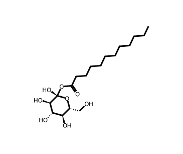 CCCCCCCCCCCC(=O)O[C@]1(O)O[C@H](CO)[C@@H](O)[C@H](O)[C@H]1O